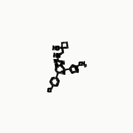 Cn1cc(-c2nc(-c3ccc(Cl)cc3)cn3nc(NCC4(O)CCC4)nc23)cn1